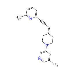 Cc1cccc(C#CC=C2CCN(c3cncc(C(F)(F)F)c3)CC2)n1